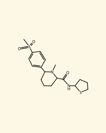 CN1C(C(=O)NC2CCCS2)CCCC1c1ccc(S(C)(=O)=O)cc1